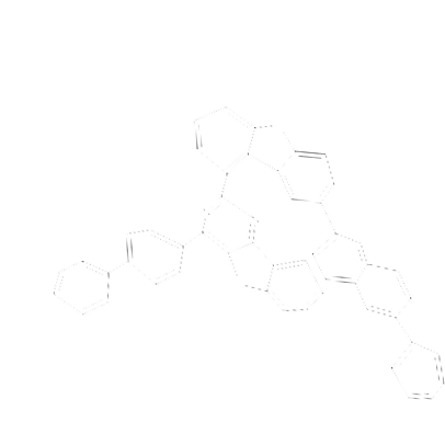 c1ccc(-c2ccc(-c3nc(-c4cccc5oc6ccc(-c7ccc8cc(-c9ccccc9)ccc8c7)cc6c45)nc4c3sc3ccccc34)cc2)cc1